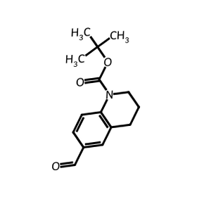 CC(C)(C)OC(=O)N1CCCc2cc(C=O)ccc21